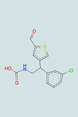 O=Cc1cc(C(CNC(=O)O)c2cccc(Cl)c2)cs1